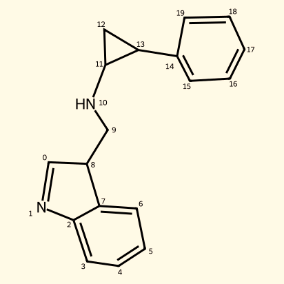 C1=Nc2ccccc2C1CNC1CC1c1ccccc1